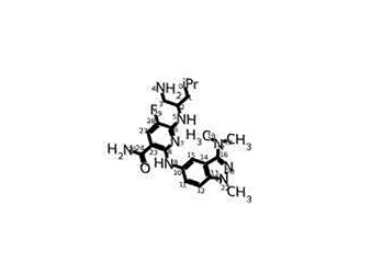 CC(C)CC(CN)Nc1nc(Nc2ccc3c(c2)c(N(C)C)nn3C)c(C(N)=O)cc1F